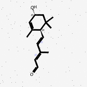 CC1=C[C@H](O)CC(C)(C)[C@H]1/C=C/C(C)=C/C=O